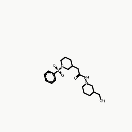 O=C(CC1CCCN(S(=O)(=O)c2ccccc2)C1)NN1CCCC(CO)C1